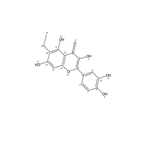 O=c1c(O)c(-c2ccc(O)c(O)c2)oc2cc(O)c(CI)c(O)c12